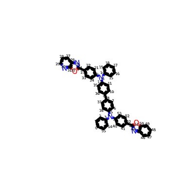 c1ccc(N(c2ccc(-c3ccc(N(c4ccccc4)c4ccc(-c5nc6cccnc6o5)cc4)cc3)cc2)c2ccc(-c3nc4ccccc4o3)cc2)cc1